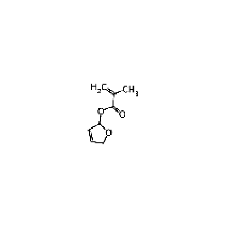 C=C(C)C(=O)OC1C=CCO1